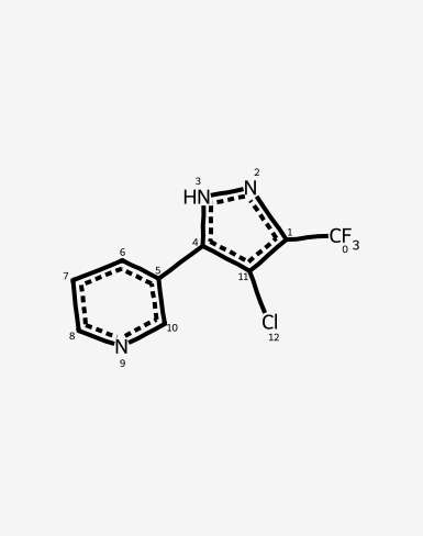 FC(F)(F)c1n[nH]c(-c2cccnc2)c1Cl